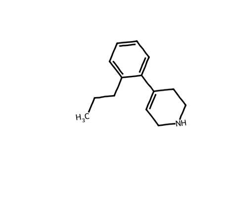 CCCc1ccccc1C1=CCNCC1